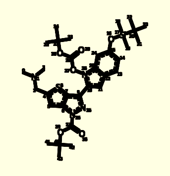 CN(C)Cc1cc2c(s1)c(-c1cc3ccc(O[Si](C)(C)C(C)(C)C)cc3n1OC(=O)OC(C)(C)C)nn2C(=O)OC(C)(C)C